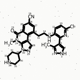 Cc1n[nH]cc1-c1nc(Cl)ccc1NCCc1cc(C#N)cc2c(=O)n(C)c3c(cnn3C3CCNCC3)c12